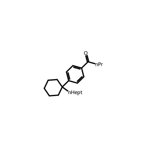 CCCCCCCC1(c2ccc(C(=O)CCC)cc2)CCCCC1